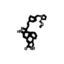 COC[C@H]1CCCN1Cc1ccc(/C=C/c2n[nH]c3cc(/C=C4/C(=O)NCC4c4ccccc4)ccc23)cc1